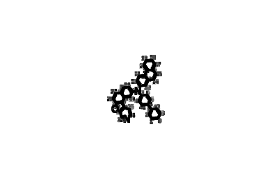 c1ccc(-c2ccc(N(c3ccc4c(ccc5ccccc54)c3)c3ccc4ccc5oc6cnccc6c5c4c3)cc2)cc1